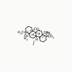 C[C@]12CCC[N+](C)(C)[C@@H]1CC[C@@H]1[C@@H]2CC[C@@]2(C)[C@H]1CCC[N+]2(C)C.[I-].[I-]